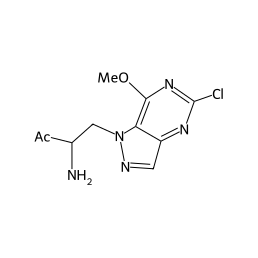 COc1nc(Cl)nc2cnn(CC(N)C(C)=O)c12